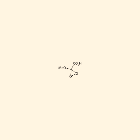 COC1(C(=O)O)OO1